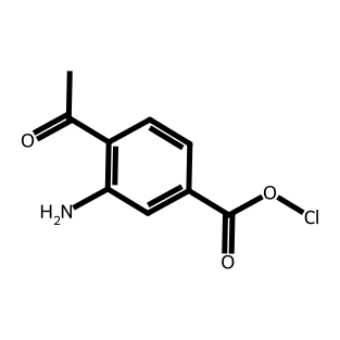 CC(=O)c1ccc(C(=O)OCl)cc1N